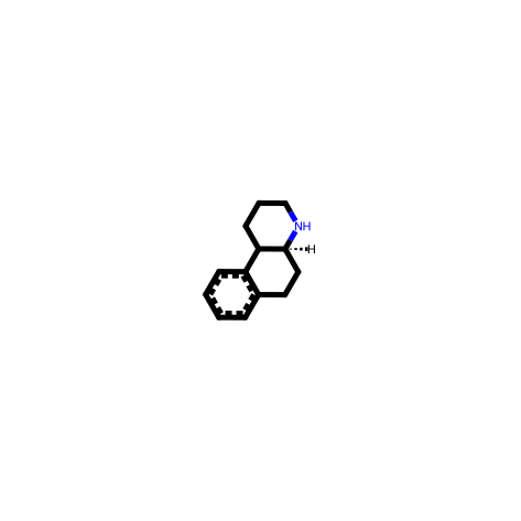 c1ccc2c(c1)CC[C@@H]1NCCCC21